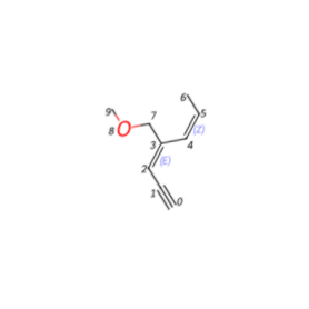 C#C/C=C(\C=C/C)COC